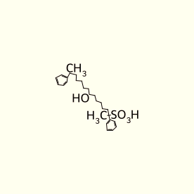 CC(CCCCCC(O)CCCCCC(C)(c1ccccc1)S(=O)(=O)O)c1ccccc1